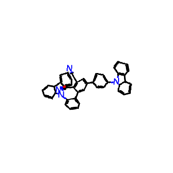 N#Cc1cc(-c2ccc(N3C4=C(C=CCC4)C4C=CC=CC43)cc2)cc(-c2ccccc2N2c3ccccc3C3C=CC=CC32)c1C#N